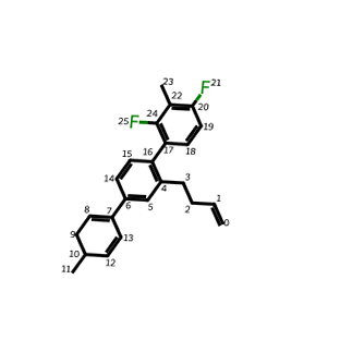 C=CCCc1cc(C2=CCC(C)C=C2)ccc1-c1ccc(F)c(C)c1F